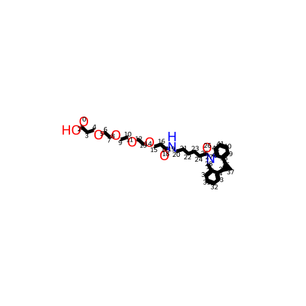 O=C(O)CCOCCOCCOCCOCCC(=O)NCCCCCC(=O)N1Cc2ccccc2C2=C(C2)c2ccccc21